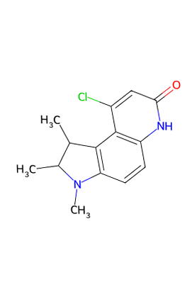 CC1c2c(ccc3[nH]c(=O)cc(Cl)c23)N(C)C1C